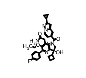 CCOc1c(CC(N)=O)cc([C@@](O)(CNC(=O)c2ccn3nc(C4CC4)cc3c2)C2CCC2)nc1-c1ccc(F)cc1